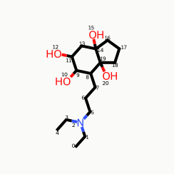 CCN(CC)CCCC1C(O)C(O)CC2(O)CCCC12O